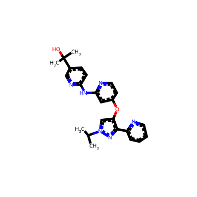 CC(C)n1cc(Oc2ccnc(Nc3ccc(C(C)(C)O)cn3)c2)c(-c2ccccn2)n1